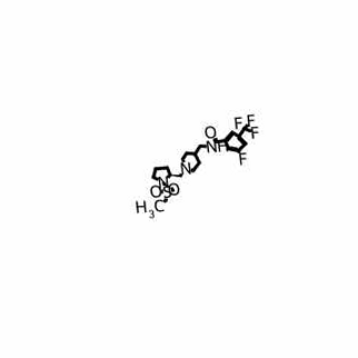 CCS(=O)(=O)N1CCC[C@H]1CN1CCC(CNC(=O)c2cc(F)cc(C(F)(F)F)c2)CC1